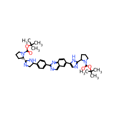 CC(C)(C)OC(=O)N1CCCC1c1ncc(-c2ccc3nc(-c4ccc(C5CN=C([C@@H]6CCCN6C(=O)OC(C)(C)C)N5)cc4)ncc3c2)[nH]1